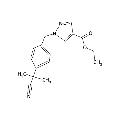 CCOC(=O)c1cnn(Cc2ccc(C(C)(C)C#N)cc2)c1